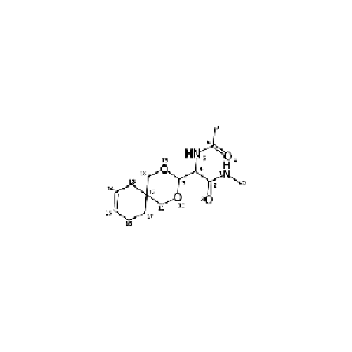 CNC(=O)C(NC(C)=O)C1OCC2(CC=CCC2)CO1